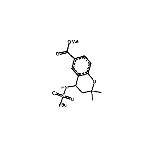 CCCCS(=O)(=O)NC1CC(C)(C)Oc2ccc(C(=O)OC)cc21